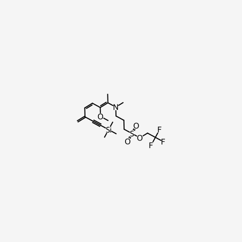 C=C(C#C[Si](C)(C)C)/C=C\C(OC)=C(/C)N(C)CCCS(=O)(=O)OCC(F)(F)F